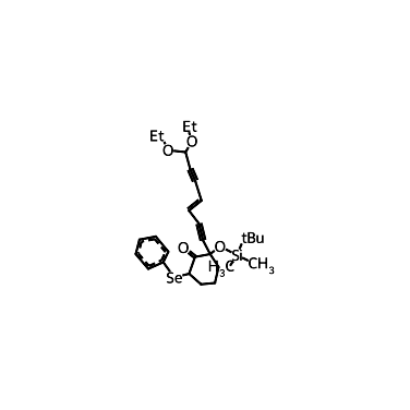 CCOC(C#CC=CC#CC1(O[Si](C)(C)C(C)(C)C)CCCC([Se]c2ccccc2)C1=O)OCC